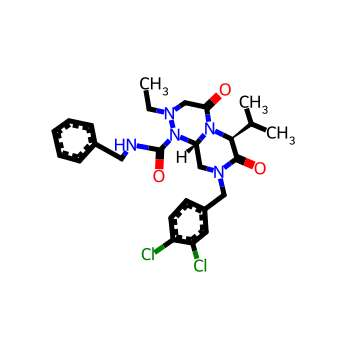 CCN1CC(=O)N2[C@@H](C(C)C)C(=O)N(Cc3ccc(Cl)c(Cl)c3)C[C@@H]2N1C(=O)NCc1ccccc1